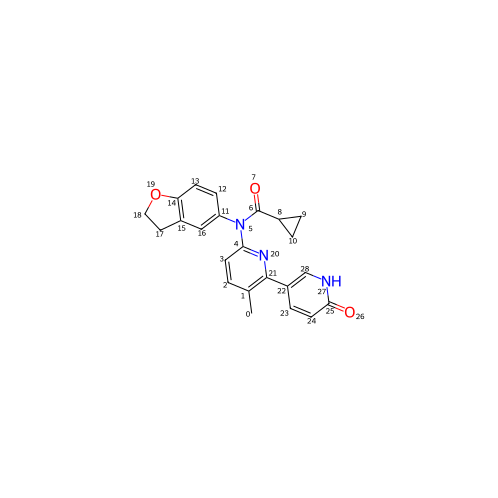 Cc1ccc(N(C(=O)C2CC2)c2ccc3c(c2)CCO3)nc1-c1ccc(=O)[nH]c1